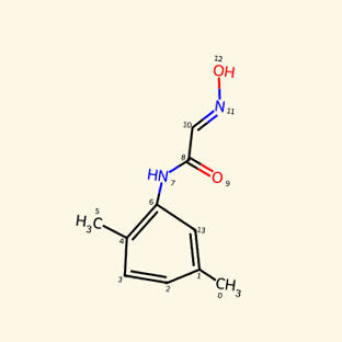 Cc1ccc(C)c(NC(=O)/C=N/O)c1